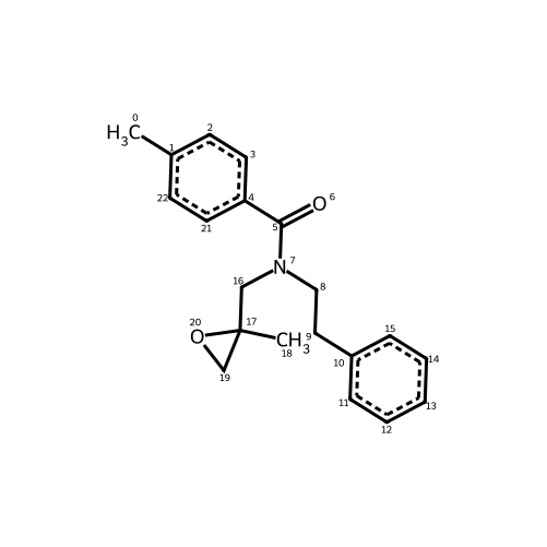 Cc1ccc(C(=O)N(CCc2ccccc2)CC2(C)CO2)cc1